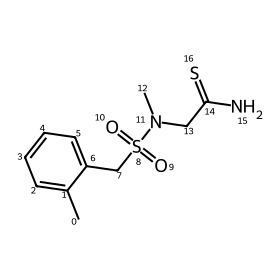 Cc1ccccc1CS(=O)(=O)N(C)CC(N)=S